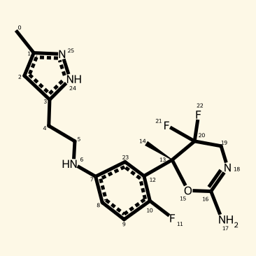 Cc1cc(CCNc2ccc(F)c([C@@]3(C)OC(N)=NCC3(F)F)c2)[nH]n1